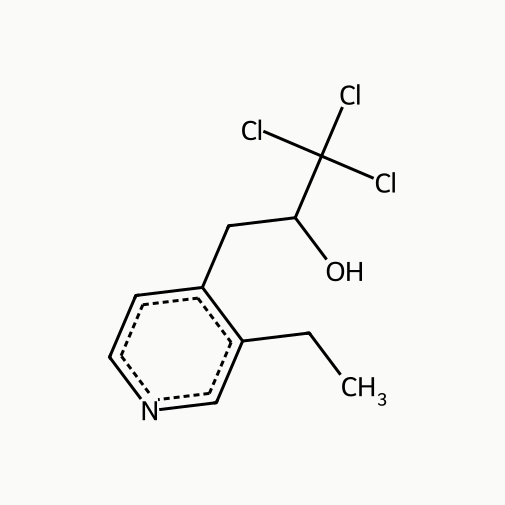 CCc1cnccc1CC(O)C(Cl)(Cl)Cl